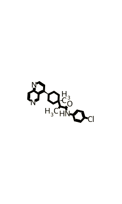 CC(C(=O)Nc1ccc(Cl)cc1)[C@]1(C)CC[C@H](c2ccnc3ccncc32)CC1